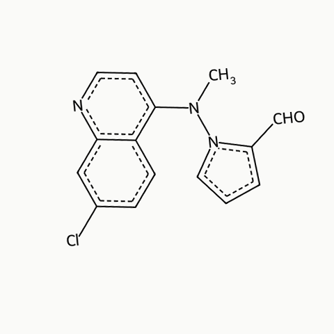 CN(c1ccnc2cc(Cl)ccc12)n1cccc1C=O